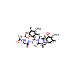 CCCC(=O)N[C@@H](C)C(=O)NC[C@H]1c2c(c(OC(C)=O)c(C)c3c2OCO3)CC2[C@H]3c4c(cc(C)c(OC)c4O)C[C@H](C(C#N)N21)N3C